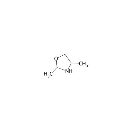 CC1COC(C)N1